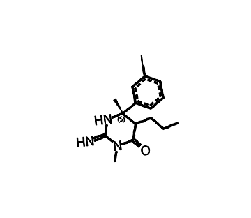 CCCC1C(=O)N(C)C(=N)N[C@]1(C)c1cccc(I)c1